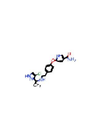 CC(NCCc1ccc(Oc2ccc(C(N)=O)cn2)cc1)c1n[nH]cc1Cl